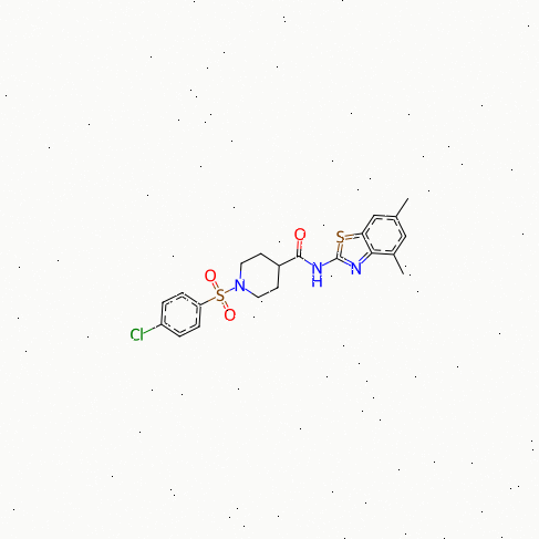 Cc1cc(C)c2nc(NC(=O)C3CCN(S(=O)(=O)c4ccc(Cl)cc4)CC3)sc2c1